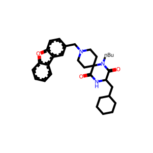 CCCCN1C(=O)C(CC2CCCCC2)NC(=O)C12CCN(Cc1ccc3oc4ccccc4c3c1)CC2